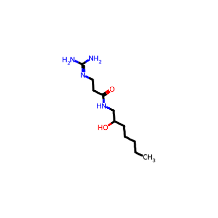 CCCCCC(O)CNC(=O)CCN=C(N)N